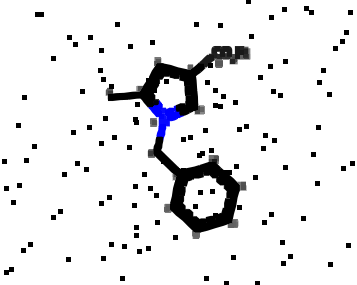 CCOC(=O)c1cc(C)n(Cc2ccccc2)c1